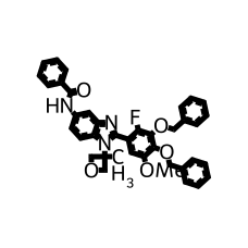 COc1cc(-c2nc3cc(NC(=O)c4ccccc4)ccc3n2C2(C)COC2)c(F)c(OCc2ccccc2)c1OCc1ccccc1